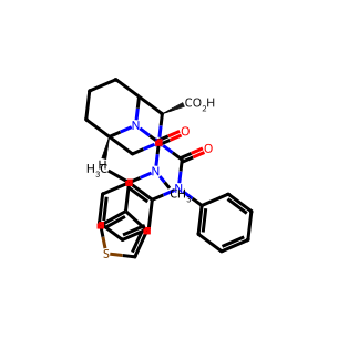 CC(c1ccsc1)N(C)C(=O)N1C2CCC[C@H]1CN(C(=O)N(c1ccccc1)c1ccccc1)[C@@H]2C(=O)O